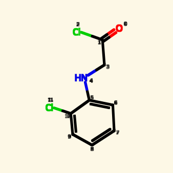 O=C(Cl)CNc1ccccc1Cl